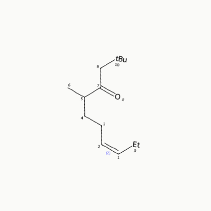 CC/C=C\CCC(C)C(=O)CC(C)(C)C